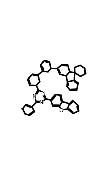 C1=CC(C2=CC3c4ccccc4C4(CCCCC4)C3C=C2)CC(C2=CC=CC(c3nc(C4=CCCC=C4)nc(-c4ccc5c(c4)oc4ccccc45)n3)C2)=C1